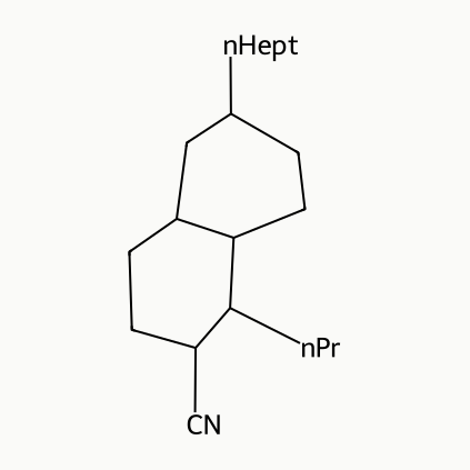 CCCCCCCC1CCC2C(CCC(C#N)C2CCC)C1